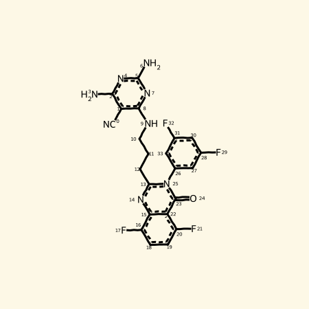 N#Cc1c(N)nc(N)nc1NCCCc1nc2c(F)ccc(F)c2c(=O)n1-c1cc(F)cc(F)c1